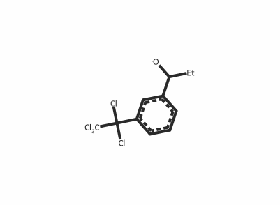 CCC([O])c1cccc(C(Cl)(Cl)C(Cl)(Cl)Cl)c1